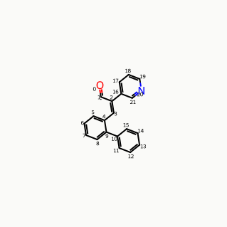 O=[C]C(=Cc1ccccc1-c1ccccc1)c1cccnc1